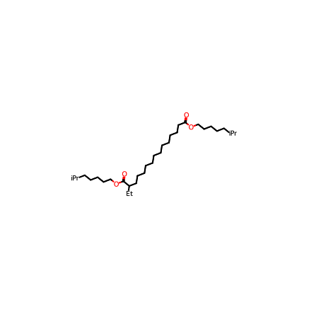 CCC(CCCCCCCCCCCCC(=O)OCCCCCC(C)C)C(=O)OCCCCCC(C)C